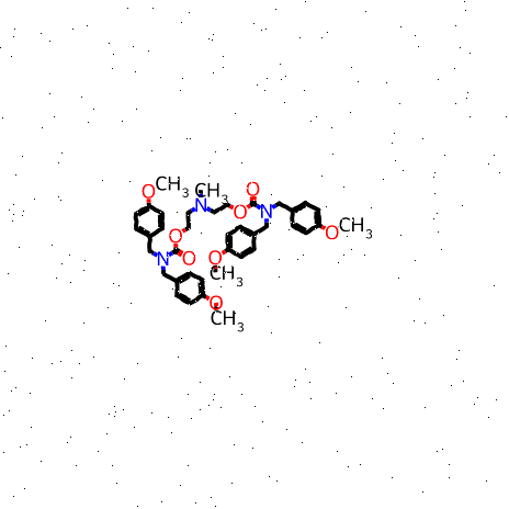 COc1ccc(CN(Cc2ccc(OC)cc2)C(=O)OCCN(C)CCOC(=O)N(Cc2ccc(OC)cc2)Cc2ccc(OC)cc2)cc1